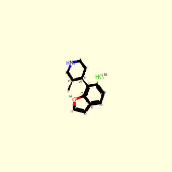 C[C@H]1CNCC[C@H]1c1cccc2ccoc12.Cl